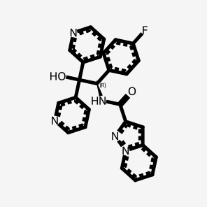 O=C(N[C@H](c1ccc(F)cc1)C(O)(c1cccnc1)c1cccnc1)c1cc2ccccn2n1